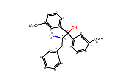 COc1cccc(C(O)(c2cccc(OC)c2)[C@H](N)Cc2ccccc2)c1